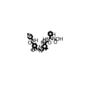 COc1cc(C(=O)NC2CCN(C)CC2)ccc1Nc1ncc2c(n1)-c1noc(C(=O)N[C@H](CNC(=O)O)c3ccccc3)c1CC2(C)C